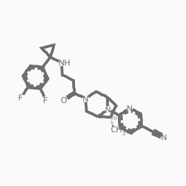 C[C@H]1CC2CN(C(=O)CCNC3(c4ccc(F)c(F)c4)CC3)CC1N2c1ccc(C#N)cn1